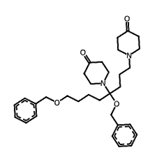 O=C1CCN(CCCC(CCCCOCc2ccccc2)(OCc2ccccc2)N2CCC(=O)CC2)CC1